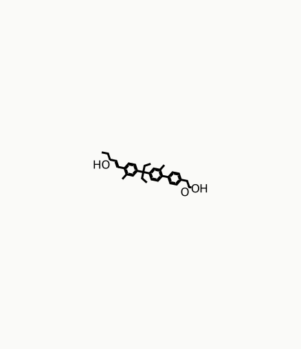 CCC(O)C=Cc1ccc(C(CC)(CC)c2ccc(-c3ccc(CC(=O)O)cc3)c(C)c2)cc1C